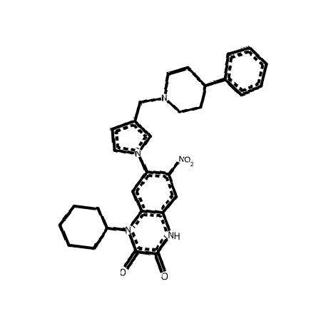 O=c1[nH]c2cc([N+](=O)[O-])c(-n3ccc(CN4CCC(c5ccccc5)CC4)c3)cc2n(C2CCCCC2)c1=O